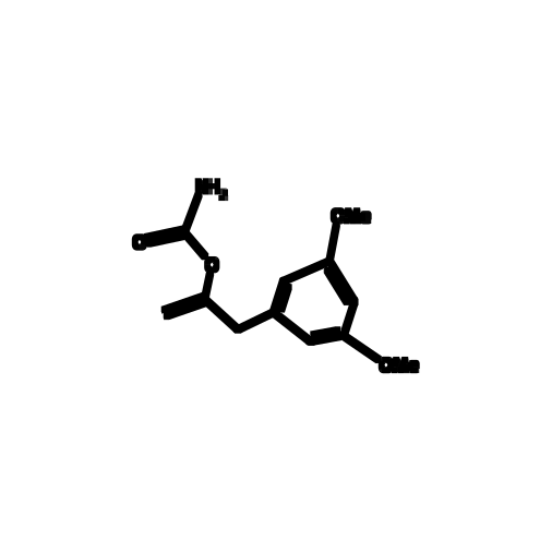 C=C(Cc1cc(OC)cc(OC)c1)OC(N)=O